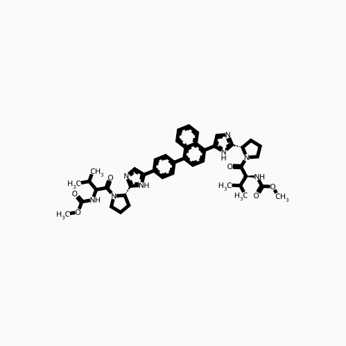 COC(=O)NC(C(=O)N1CCC[C@H]1c1ncc(-c2ccc(-c3ccc(-c4cnc([C@@H]5CCCN5C(=O)[C@@H](NC(=O)OC)C(C)C)[nH]4)c4ccccc34)cc2)[nH]1)C(C)C